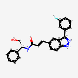 O=C(/C=C/c1ccc2[nH]nc(-c3cccc(F)c3)c2c1)N[C@@H](CO)c1ccccc1